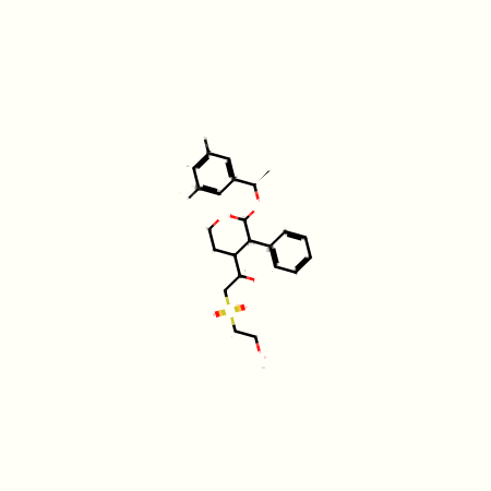 C[C@@H](OC1OCCC(C(O)CS(=O)(=O)CCO)C1c1ccccc1)c1cc(C(F)(F)F)cc(C(F)(F)F)c1